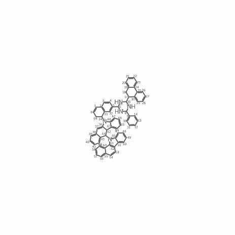 C1=Cc2ccc(C3NC(c4ccccc4)NC(C4Cc5ccccc5-c5ccccc54)N3)cc2C(N2C3=Cc4ccccc4C(n4c5ccccc5c5ccc6ccccc6c54)C3c3ccccc32)C1